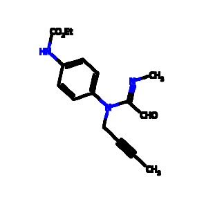 CC#CCN(C(C=O)=NC)c1ccc(NC(=O)OCC)cc1